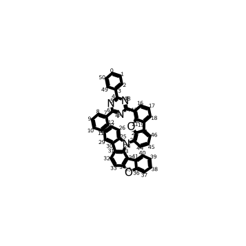 c1ccc(-c2nc(-c3ccccc3)nc(-c3cccc4c3oc3c(-n5c6ccccc6c6ccc7oc8ccccc8c7c65)cccc34)n2)cc1